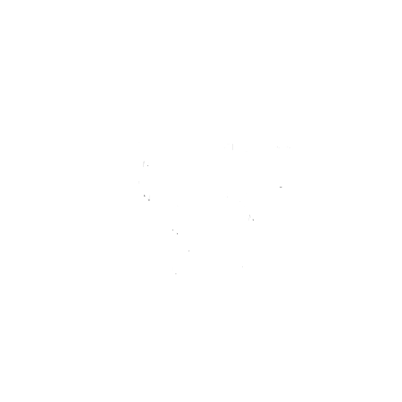 O=C(c1cccc(N2Cc3cccc(Cl)c3C2=O)c1)N1CCN(C(=O)N2CCCC2)CC1